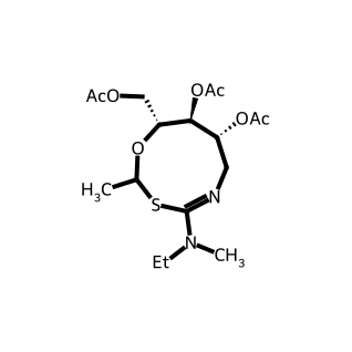 CCN(C)/C1=N/C[C@@H](OC(C)=O)[C@H](OC(C)=O)[C@@H](COC(C)=O)OC(C)S1